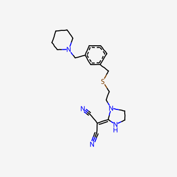 N#CC(C#N)=C1NCCN1CCSCc1cccc(CN2CCCCC2)c1